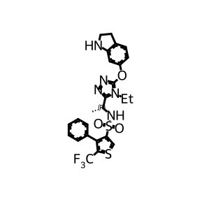 CCn1c(Oc2ccc3c(c2)NCC3)nnc1[C@@H](C)NS(=O)(=O)c1csc(C(F)(F)F)c1-c1ccccc1